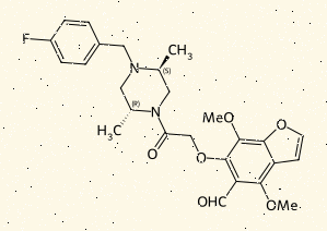 COc1c(C=O)c(OCC(=O)N2C[C@H](C)N(Cc3ccc(F)cc3)C[C@H]2C)c(OC)c2occc12